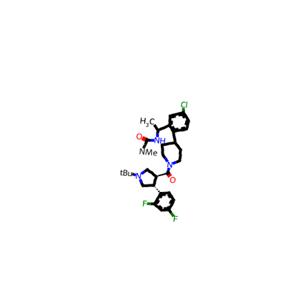 CNC(=O)NC(C)c1cc(Cl)ccc1C1CCN(C(=O)[C@@H]2CN(C(C)(C)C)C[C@H]2c2ccc(F)cc2F)CC1